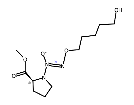 COC(=O)[C@@H]1CCCN1/[N+]([O-])=N/OCCCCCO